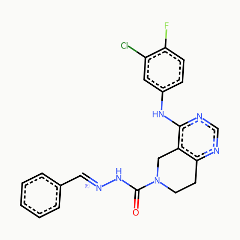 O=C(N/N=C/c1ccccc1)N1CCc2ncnc(Nc3ccc(F)c(Cl)c3)c2C1